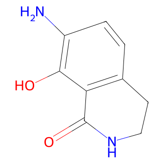 Nc1ccc2c(c1O)C(=O)NCC2